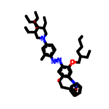 CCCCC(CC)COc1cc(N2c3ccc(cc3)CC2CC)c(C)cc1/N=N/c1ccc(N(CC(CC)CCCC)CC(CC)CCCC)cc1C